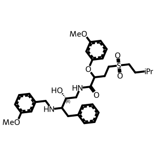 COc1cccc(CNC(Cc2ccccc2)[C@H](O)CNC(=O)C(CCS(=O)(=O)CCC(C)C)Oc2cccc(OC)c2)c1